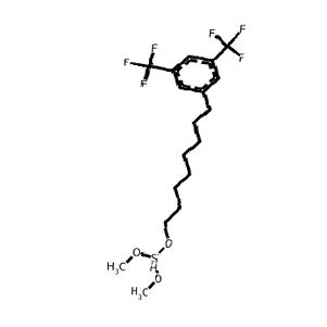 CO[SiH](OC)OCCCCCCCCc1cc(C(F)(F)F)cc(C(F)(F)F)c1